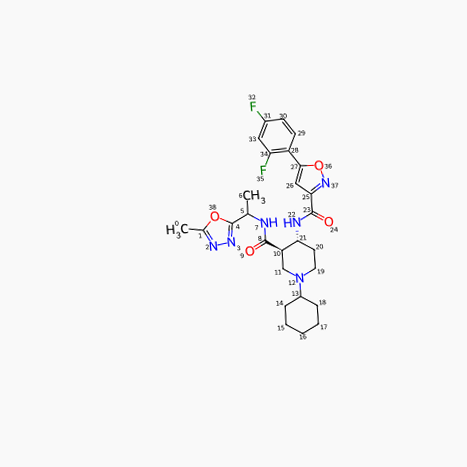 Cc1nnc(C(C)NC(=O)[C@@H]2CN(C3CCCCC3)CC[C@H]2NC(=O)c2cc(-c3ccc(F)cc3F)on2)o1